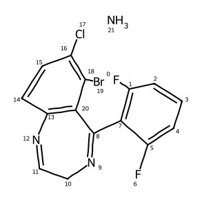 Fc1cccc(F)c1C1=NCC=Nc2ccc(Cl)c(Br)c21.N